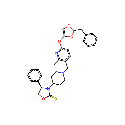 Cc1nc(OC2=COC(Cc3ccccc3)O2)ccc1CN1CCC(N2C(=S)OC[C@H]2c2ccccc2)CC1